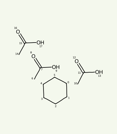 C1CCCCC1.CC(=O)O.CC(=O)O.CC(=O)O